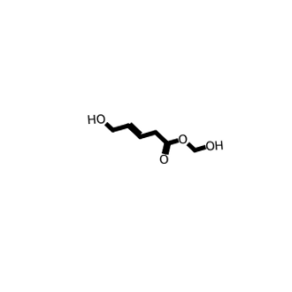 O=C(CC=CCO)OCO